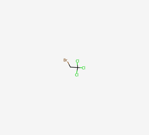 ClC(Cl)(Cl)CBr